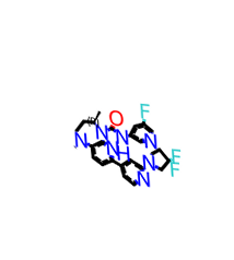 C[C@@H]1CCN(C)c2ccc(-c3ccnc(N4CCC(F)(F)C4)c3)nc2N1C(=O)Nc1cncc(F)c1